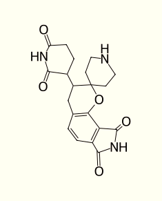 O=C1CCC(C2Cc3ccc4c(c3OC23CCNCC3)C(=O)NC4=O)C(=O)N1